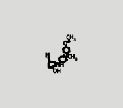 CCOC1CCC(C)(N2CCC(Nc3cc(C#N)ccc3O)CC2)CC1